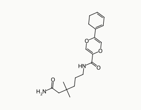 CC(C)(CCCNC(=O)C1=COC(C2=CC=CCC2)=CO1)CC(N)=O